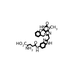 Cn1c(=O)[nH]c(=O)c2c1nc(Cc1nc3cc(NC(=O)CC[C@H](N)C(=O)O)ccc3[nH]1)n2Cc1ccccc1